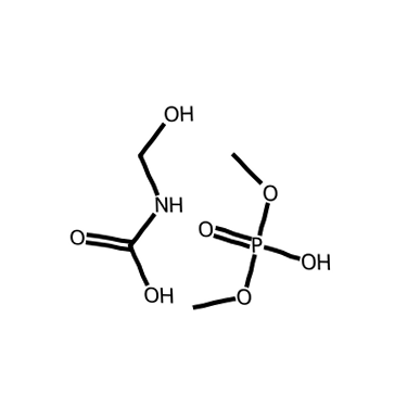 COP(=O)(O)OC.O=C(O)NCO